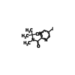 CN(C(=O)c1ncc(I)cn1)C(C)(C)C